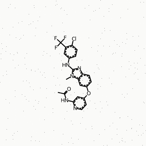 CC(=O)Nc1cc(Oc2ccc3nc(Nc4ccc(Cl)c(C(F)(F)F)c4)n(C)c3c2)ccn1